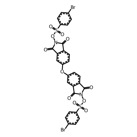 O=C1c2ccc(Oc3ccc4c(c3)C(=O)N(OS(=O)(=O)c3ccc(Br)cc3)C4=O)cc2C(=O)N1OS(=O)(=O)c1ccc(Br)cc1